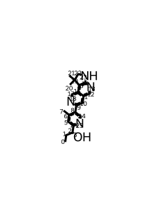 CCC(O)c1cc(C)c(-c2cc3cnc4c(c3cn2)C(C)(C)CN4)cn1